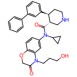 O=C1COc2ccc(N(C(=O)[C@H]3CNCC[C@@H]3c3cccc(-c4ccccc4)c3)C3CC3)cc2N1CCCO